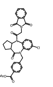 COC(=O)c1ccc(CN2C(=O)C3CCCC3N(C(=O)CN3C(=O)c4ccccc4C3=O)c3ccc(Cl)cc32)cc1